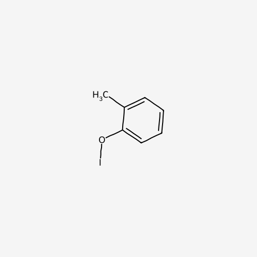 Cc1ccccc1OI